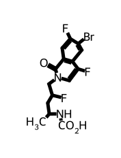 CC(CC(F)Cn1cc(F)c2cc(Br)c(F)cc2c1=O)NC(=O)O